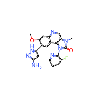 COc1cc2ncc3c(c2cc1-c1cc(N)n[nH]1)n(-c1ncccc1F)c(=O)n3C